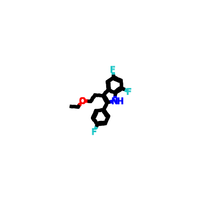 CCOCCc1c(-c2ccc(F)cc2)[nH]c2c(F)cc(F)cc12